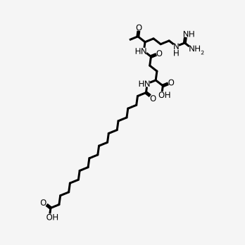 CC(=O)C(CCCNC(=N)N)NC(=O)CCC(NC(=O)CCCCCCCCCCCCCCCCCCC(=O)O)C(=O)O